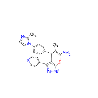 Cc1nccn1-c1ccc(C2C(C#N)=C(N)Oc3[nH]nc(-c4ccncc4)c32)cc1